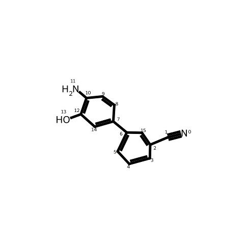 N#Cc1cccc(-c2ccc(N)c(O)c2)c1